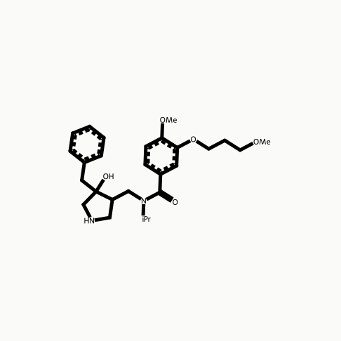 COCCCOc1cc(C(=O)N(CC2CNCC2(O)Cc2ccccc2)C(C)C)ccc1OC